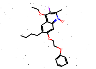 CCCCc1cc2c(OCC)c(I)c(C)[n+]([O-])c2cc1OCCOc1ccccc1